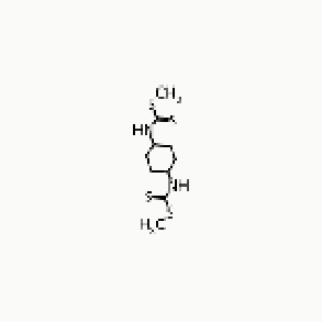 CSC(=S)NC1CCC(NC(=S)SC)CC1